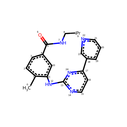 Cc1ccc(C(=O)NCC(C)C)cc1Nc1nccc(-c2cccnc2)n1